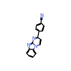 N#Cc1ccc(-c2ccn3c(n2)nc2ccccc23)cc1